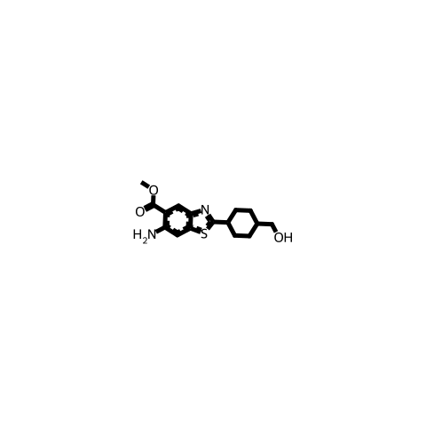 COC(=O)c1cc2nc(C3CCC(CO)CC3)sc2cc1N